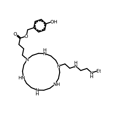 CCNCCNCCN1CCNCCNCCNCCN(CCCC(=O)OCc2ccc(O)cc2)CCNCC1